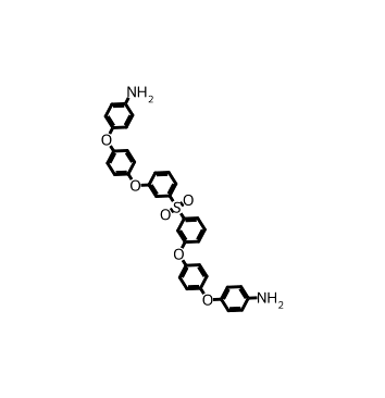 Nc1ccc(Oc2ccc(Oc3cccc(S(=O)(=O)c4cccc(Oc5ccc(Oc6ccc(N)cc6)cc5)c4)c3)cc2)cc1